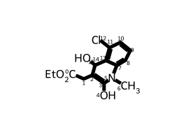 CCOC(=O)CC1=C(O)N(C)c2cccc(Cl)c2C1O